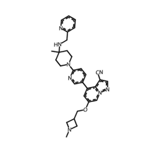 CN1CC(COc2cc(-c3ccc(N4CCC(C)(NCc5ccccn5)CC4)nc3)c3c(C#N)cnn3c2)C1